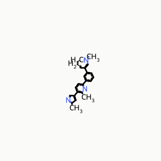 C=C/C(=C\N(C)C)c1cccc(-c2ccc(C3=CC(C)N=C3)c(C)n2)c1